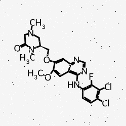 COc1cc2c(Nc3ccc(Cl)c(Cl)c3F)ncnc2cc1OC[C@@H]1CN(C)CC(=O)N1C